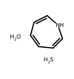 C1=CC=CNC=C1.O.S